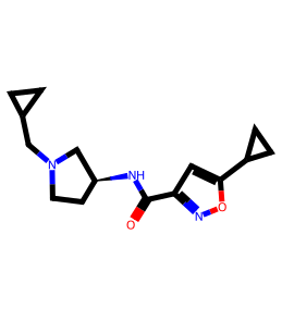 O=C(N[C@H]1CCN(CC2CC2)C1)c1cc(C2CC2)on1